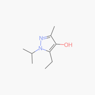 CCc1c(O)c(C)nn1C(C)C